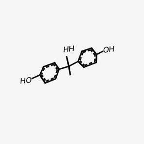 CC(C)(c1ccc(O)cc1)c1ccc(O)cc1.[HH]